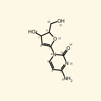 Nc1ccn(C2=CC(O)C(CO)O2)c(=O)n1